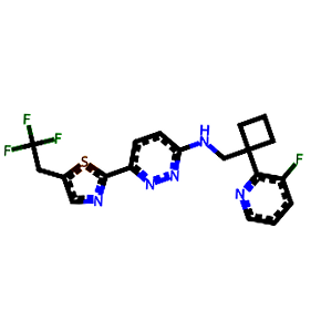 Fc1cccnc1C1(CNc2ccc(-c3ncc(CC(F)(F)F)s3)nn2)CCC1